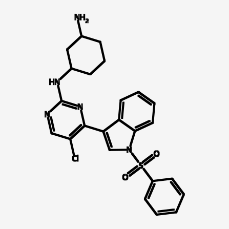 NC1CCCC(Nc2ncc(Cl)c(-c3cn(S(=O)(=O)c4ccccc4)c4ccccc34)n2)C1